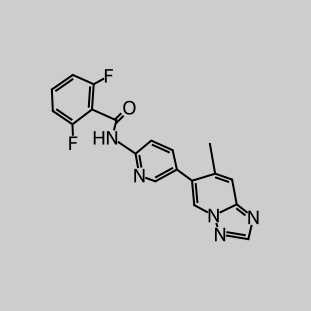 Cc1cc2ncnn2cc1-c1ccc(NC(=O)c2c(F)cccc2F)nc1